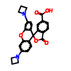 O=C(O)c1ccc2c(c1)C1(OC2=O)c2ccc(N3CCC3)cc2Oc2cc(N3CCC3)ccc21